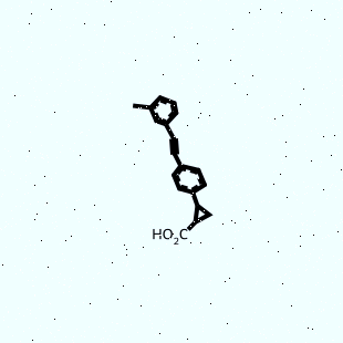 Cc1cccc(C#Cc2ccc(C3CC3C(=O)O)cc2)c1